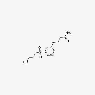 NC(=O)CC[CH]c1cncc(S(=O)(=O)CCCO)c1